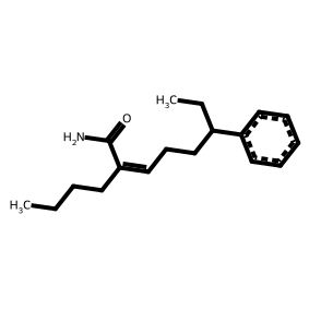 CCCCC(=CCCC(CC)c1ccccc1)C(N)=O